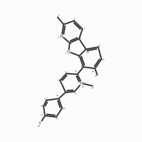 Cc1ccc2c(n1)oc1c(-c3ccc(-c4ccc(F)cc4)c[n+]3C)c(C)ccc12